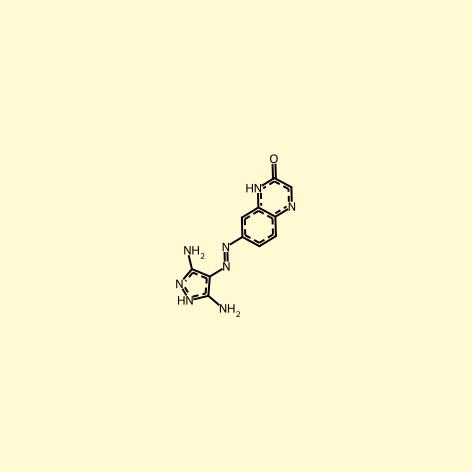 Nc1n[nH]c(N)c1/N=N/c1ccc2ncc(=O)[nH]c2c1